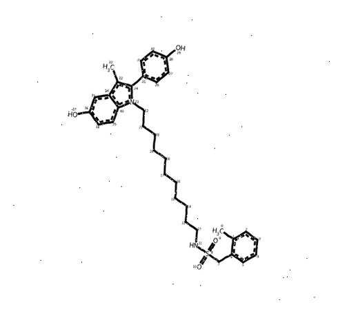 Cc1ccccc1CS(=O)(=O)NCCCCCCCCCCCn1c(-c2ccc(O)cc2)c(C)c2cc(O)ccc21